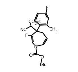 CCOC(=O)C(C#N)C1(c2ccc(F)cc2C)CC=CN(C(=O)OC(C)(C)C)C=C1F